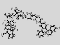 CC1=C(O)C(=O)C=C2C1=CC=C1C2(C)CCC2CC(C)(CCC(C)(CN)C(=O)NCN3CCN(CC4CCN(c5ccc(C6c7ccc(O)cc7CCC6c6ccccc6)cc5)CC4)CC3)CCC12C